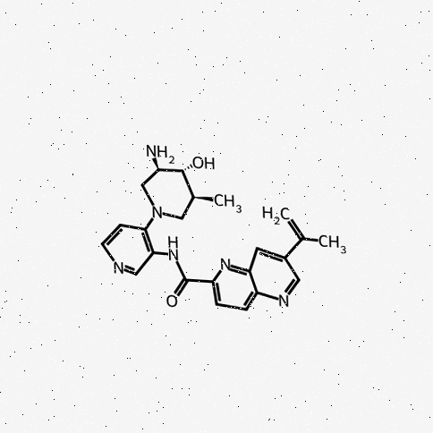 C=C(C)c1cnc2ccc(C(=O)Nc3cnccc3N3C[C@@H](N)[C@H](O)[C@@H](C)C3)nc2c1